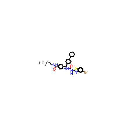 O=C(O)CCNC(=O)c1ccc(C(NC(=O)Nc2nc3cc(Br)ccc3s2)c2ccc(C3=CCCCC3)cc2)cc1